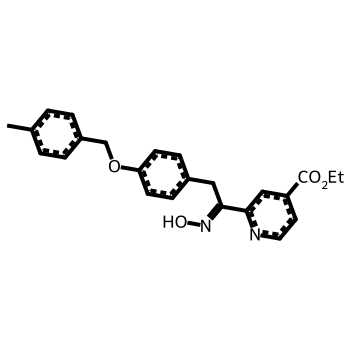 CCOC(=O)c1ccnc(/C(Cc2ccc(OCc3ccc(C)cc3)cc2)=N/O)c1